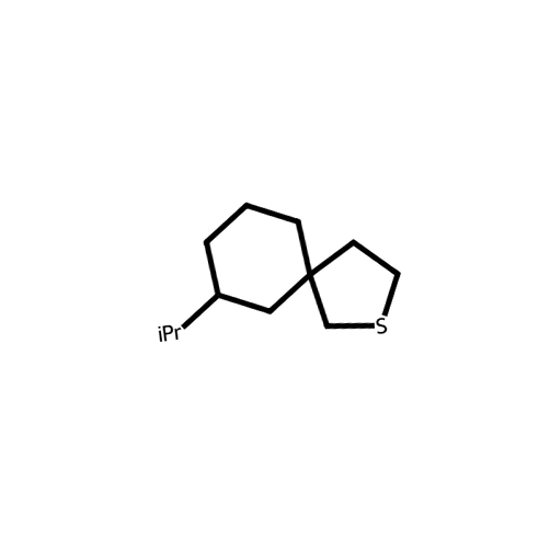 CC(C)C1CCCC2(CCSC2)C1